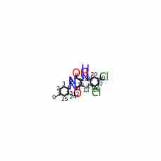 Cc1ccc(-n2nc(O)c3c(c2=O)Cc2c(Cl)cc(Cl)cc2N3)c(C)c1